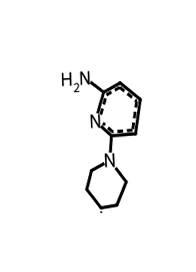 Nc1cccc(N2CC[CH]CC2)n1